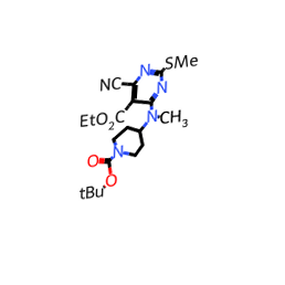 CCOC(=O)c1c(C#N)nc(SC)nc1N(C)C1CCN(C(=O)OC(C)(C)C)CC1